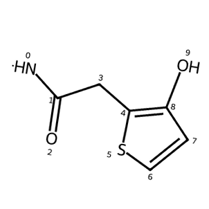 [NH]C(=O)Cc1sccc1O